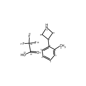 Cc1ccccc1C1CNC1.O=C(O)C(F)(F)F